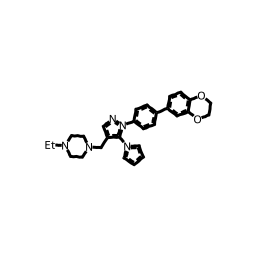 CCN1CCN(Cc2cnn(-c3ccc(-c4ccc5c(c4)OCCO5)cc3)c2-n2cccc2)CC1